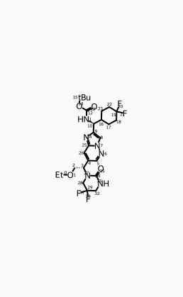 CCOC[C@H](c1cnn2cc([C@@H](NC(=O)OC(C)(C)C)C3CCC(F)(F)CC3)nc2c1)N1CC(F)(F)CNC1=O